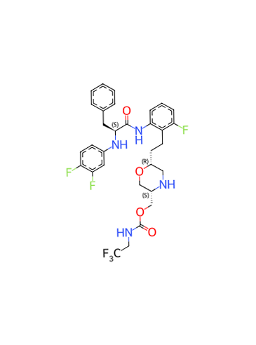 O=C(NCC(F)(F)F)OC[C@@H]1CO[C@H](CCc2c(F)cccc2NC(=O)[C@H](Cc2ccccc2)Nc2ccc(F)c(F)c2)CN1